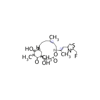 C/C1=C/C[C@@H](/C(C)=C/c2csc(CF)n2)OC(=O)C[C@H](O)[C@@]2(C)C[C@@H](CCC1)[C@H](O)[C@@H](C)C2=O